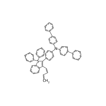 C=C/C=C\C1=C(c2ccc(N(c3ccc(-c4ccccc4)cc3)c3ccc(-c4ccccc4)cc3)cc2)S(c2ccccc2)(c2ccccc2)c2ccccc21